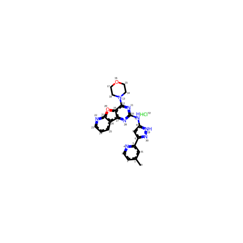 Cc1ccnc(-c2cc(Nc3nc(N4CCOCC4)c4oc5ncccc5c4n3)[nH]n2)c1.Cl